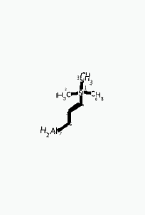 C[Si](C)(C)C=C[CH2][AlH2]